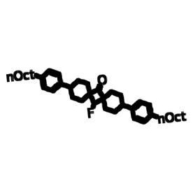 CCCCCCCCc1ccc(C2CCC3(CC2)C(=O)C2(CCC(c4ccc(CCCCCCCC)cc4)CC2)C3F)cc1